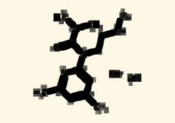 Br.Br.CCC(C)NCCN(C(=O)N(C)C)c1cc(C)cc(C)n1